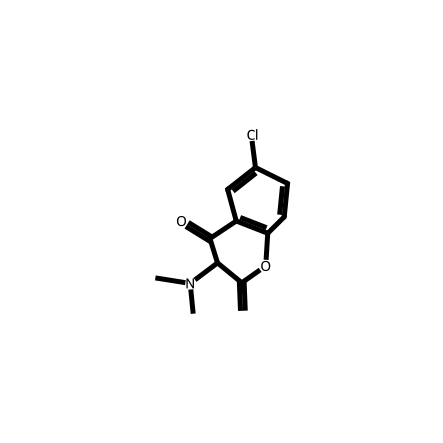 C=C1Oc2ccc(Cl)cc2C(=O)C1N(C)C